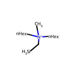 CCCCCC[N+](C)(C[SiH3])CCCCCC